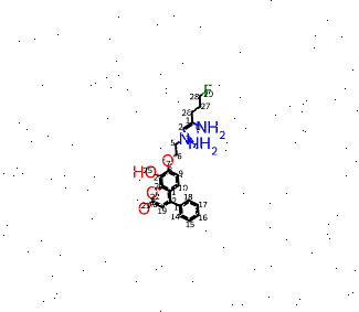 N/C(=C\N(N)CCOc1ccc2c(-c3ccccc3)cc(=O)oc2c1O)CCCF